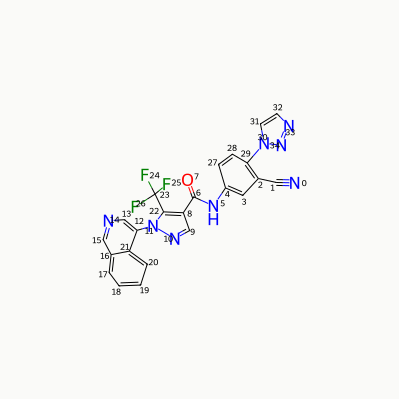 N#Cc1cc(NC(=O)c2cnn(-c3cncc4ccccc34)c2C(F)(F)F)ccc1-n1ccnn1